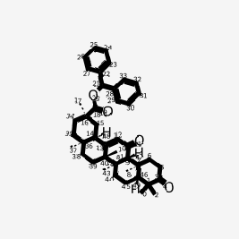 CC1(C)C(=O)CC[C@]2(C)[C@H]3C(=O)C=C4[C@@H]5C[C@](C)(C(=O)OC(c6ccccc6)c6ccccc6)CC[C@]5(C)CC[C@@]4(C)[C@]3(C)CC[C@@H]12